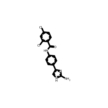 Nc1nc(-c2ccc(NC(=O)c3ccc(Cl)cc3Cl)cc2)c[nH]1